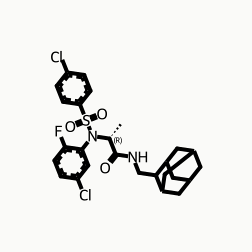 C[C@H](C(=O)NCC1C2CC3CC(C2)CC1C3)N(c1cc(Cl)ccc1F)S(=O)(=O)c1ccc(Cl)cc1